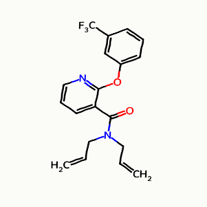 C=CCN(CC=C)C(=O)c1cccnc1Oc1cccc(C(F)(F)F)c1